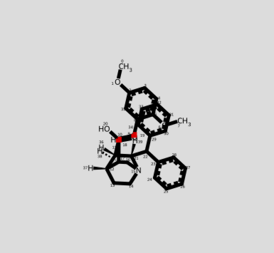 COc1ccc(OC)c(CN[C@H]2[C@H]3CCN(C[C@@H]3C(=O)O)[C@H]2C(c2ccccc2)c2ccccc2)c1